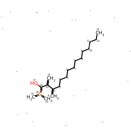 C=C(CCCCCCCCCCCC)C(=C)C(O)=S(=C)=C